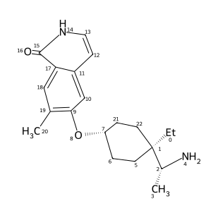 CC[C@]1([C@@H](C)N)CC[C@H](Oc2cc3cc[nH]c(=O)c3cc2C)CC1